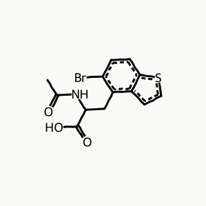 CC(=O)NC(Cc1c(Br)ccc2sccc12)C(=O)O